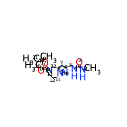 CNC(=O)NCc1cc2n(n1)CCCN(C(=O)OC(C)(C)C)C2